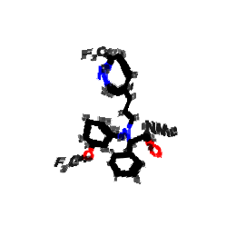 CNC(=O)[C@H](c1ccccc1)N(CCCc1ccc(C(F)(F)F)nc1)c1cccc(OC(F)(F)F)c1